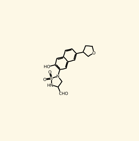 O=CC1CN(c2cc3cc(C4CCOC4)ccc3cc2O)S(=O)(=O)N1